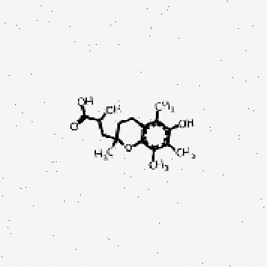 Cc1c(C)c2c(c(C)c1O)CCC(C)(CC(O)C(=O)O)O2